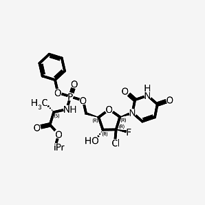 CC(C)OC(=O)[C@H](C)NP(=O)(OC[C@H]1O[C@@H](n2ccc(=O)[nH]c2=O)[C@](F)(Cl)[C@@H]1O)Oc1ccccc1